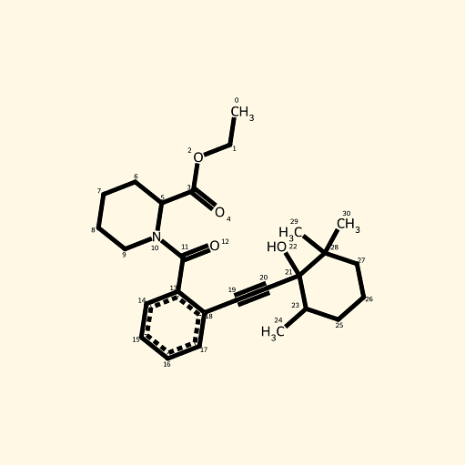 CCOC(=O)C1CCCCN1C(=O)c1ccccc1C#CC1(O)C(C)CCCC1(C)C